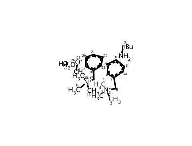 CCCCN.C[N+](C)(C)Cc1ccccc1.C[N+](C)(C)Cc1ccccc1.C[O-].O.[OH-]